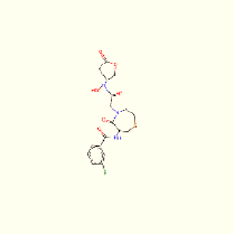 O=C1CC(N(O)C(=O)CN2CCSCC(NC(=O)c3cccc(F)c3)C2=O)CO1